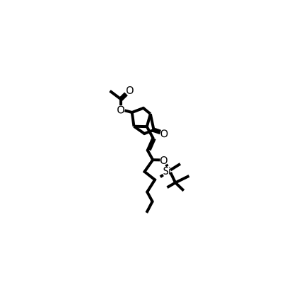 CCCCCC(C=CC1C2CC(OC(C)=O)C1CC2=O)O[Si](C)(C)C(C)(C)C